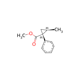 COC(=O)[C@]1(c2ccccc2)C[C@H]1C